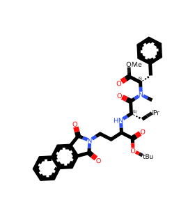 COC(=O)[C@H](Cc1ccccc1)N(C)C(=O)[C@H](CC(C)C)NC(CCN1C(=O)c2cc3ccccc3cc2C1=O)C(=O)OC(C)(C)C